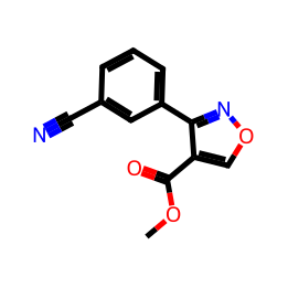 COC(=O)c1conc1-c1cccc(C#N)c1